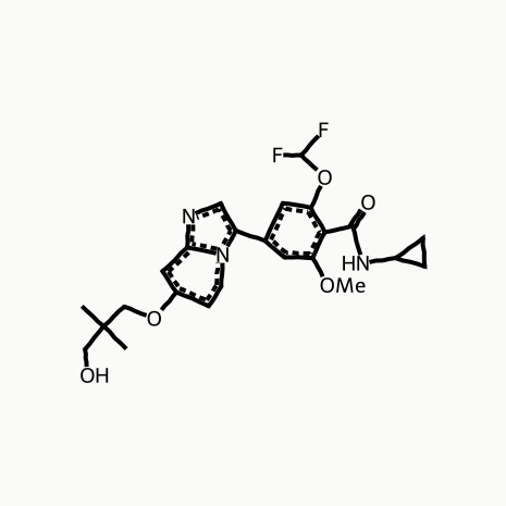 COc1cc(-c2cnc3cc(OCC(C)(C)CO)ccn23)cc(OC(F)F)c1C(=O)NC1CC1